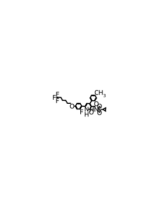 Cc1ccc(-c2cc(-c3ccc(OCCCCCC(F)(F)F)cc3F)[nH]c(=O)c2C(=O)NS(=O)(=O)C2CC2)cc1